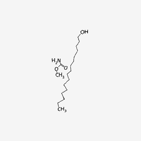 CCCCCCCCCCCCCCCCO.COC(N)=O